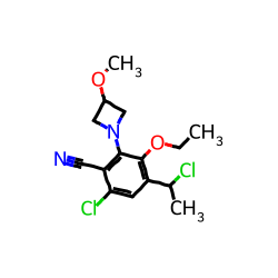 CCOc1c(C(C)Cl)cc(Cl)c(C#N)c1N1CC(OC)C1